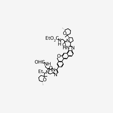 CCOC(=O)NCC(=O)N1C(c2nc3ccc4cc5c(cc4c3[nH]2)OCc2cc(-c3cnc(CN(C(=O)CNC=O)[C@H](CC)C4(C)CCC[C@@H](C)O4)[nH]3)ccc2-5)CC[C@@H]1C1(C)CCC[C@@H](C)O1